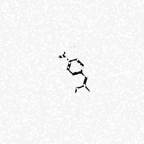 COC(=O)c1ccc(C=C(C)CBr)cc1